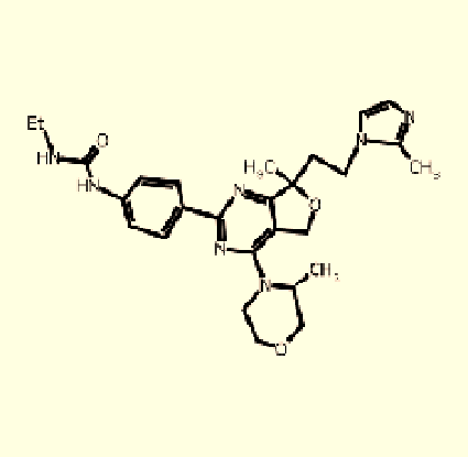 CCNC(=O)Nc1ccc(-c2nc(N3CCOC[C@@H]3C)c3c(n2)[C@](C)(CCn2ccnc2C)OC3)cc1